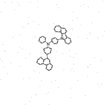 c1ccc(N(c2ccc(-c3cc4ccccc4c4ccccc34)cc2)c2ccc(-n3c4ccccc4c4ccc5ccccc5c43)cc2)cc1